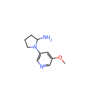 COc1cncc(N2CCCC2N)c1